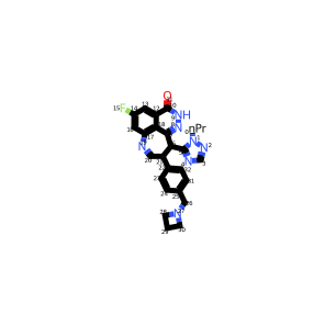 CCCn1ncnc1C1c2n[nH]c(=O)c3cc(F)cc(c23)N=CC1c1ccc(CN2CCC2)cc1